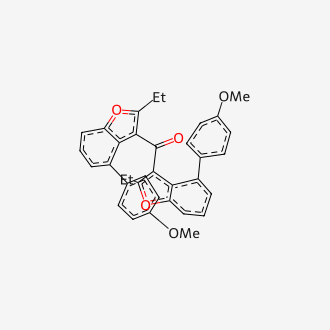 CCc1oc2cccc(-c3ccc(OC)cc3)c2c1C(=O)c1c(CC)oc2cccc(-c3ccc(OC)cc3)c12